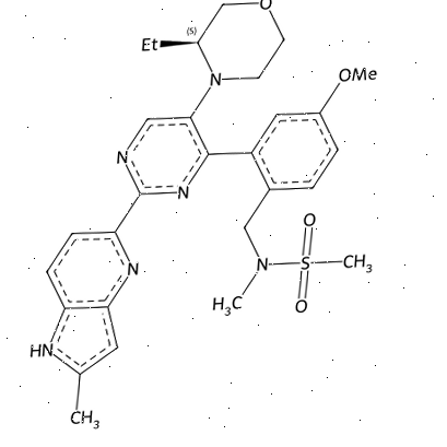 CC[C@H]1COCCN1c1cnc(-c2ccc3[nH]c(C)cc3n2)nc1-c1cc(OC)ccc1CN(C)S(C)(=O)=O